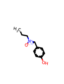 CCC/[N+]([O-])=C/c1ccc(O)cc1